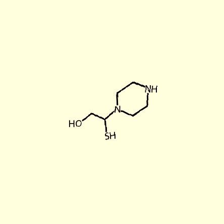 OCC(S)N1CCNCC1